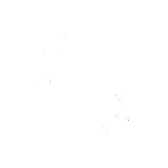 Nc1c(-c2ccc3c(c2)CCC(CC(=O)O)(CC(F)(F)F)C3)cnc2ccnn12